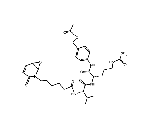 CC(=O)OCc1ccc(NC(=O)[C@H](CCCNC(N)=O)NC(=O)[C@@H](NC(=O)CCCCCN2C(=O)C=CC3OC32)C(C)C)cc1